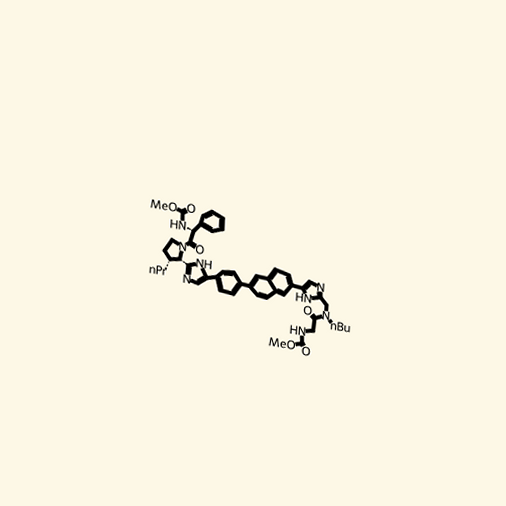 CCCCN(Cc1ncc(-c2ccc3cc(-c4ccc(-c5cnc([C@@H]6[C@H](CCC)CCN6C(=O)[C@H](NC(=O)OC)c6ccccc6)[nH]5)cc4)ccc3c2)[nH]1)C(=O)CNC(=O)OC